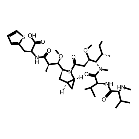 CC[C@H](C)[C@@H]([C@@H](CC(=O)N1[C@H]2C[C@H]2C[C@H]1[C@H](OC)[C@@H](C)C(=O)N[C@@H](Cc1cccs1)C(=O)O)OC)N(C)C(=O)[C@@H](NC(=O)[C@@H](NC)C(C)C)C(C)C